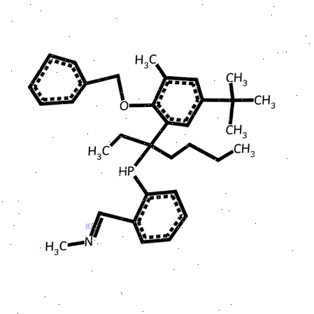 CCCCC(CC)(Pc1ccccc1/C=N/C)c1cc(C(C)(C)C)cc(C)c1OCc1ccccc1